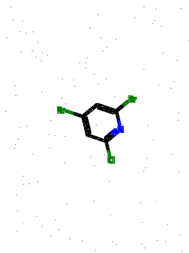 Clc1cc(Br)cc(Br)n1